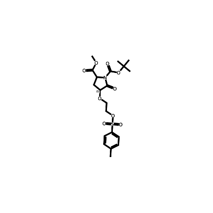 COC(=O)C1C[C@H](OCCOS(=O)(=O)c2ccc(C)cc2)C(=O)N1C(=O)OC(C)(C)C